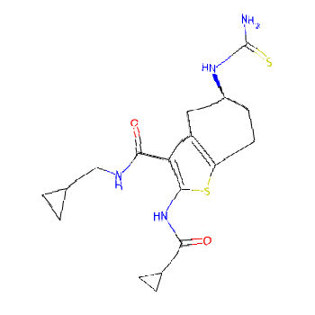 NC(=S)N[C@H]1CCc2sc(NC(=O)C3CC3)c(C(=O)NCC3CC3)c2C1